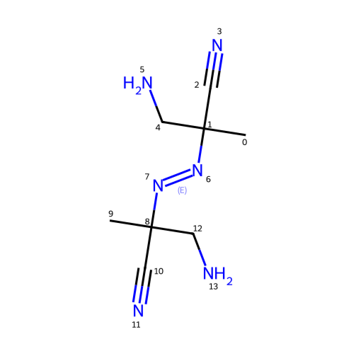 CC(C#N)(CN)/N=N/C(C)(C#N)CN